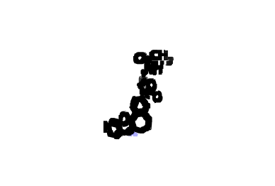 CC(=O)NC[C@H]1CN(c2ccc3c(c2)CCC/C(=C/c2ccncc2)C3=O)C(=O)O1